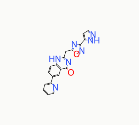 O=c1nc(Cc2nc(-c3ccn[nH]3)no2)[nH]c2ccc(-c3ccccn3)cc12